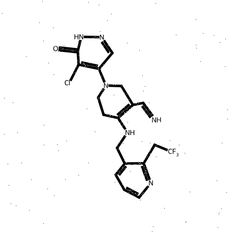 N=CC1=C(NCc2cccnc2CC(F)(F)F)CCN(c2cn[nH]c(=O)c2Cl)C1